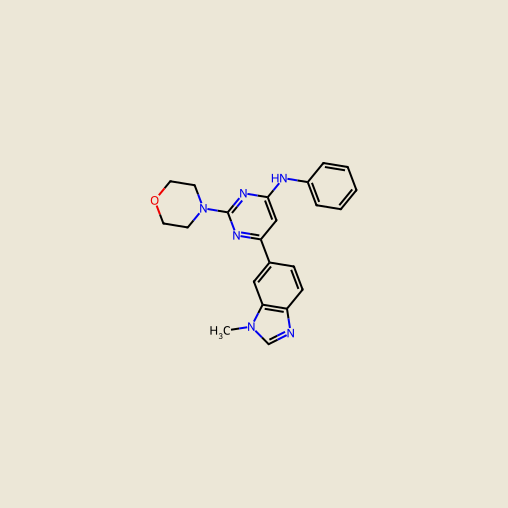 Cn1cnc2ccc(-c3cc(Nc4ccccc4)nc(N4CCOCC4)n3)cc21